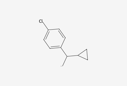 [CH2]C(c1ccc(Cl)cc1)C1CC1